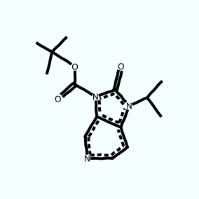 CC(C)n1c(=O)n(C(=O)OC(C)(C)C)c2cnccc21